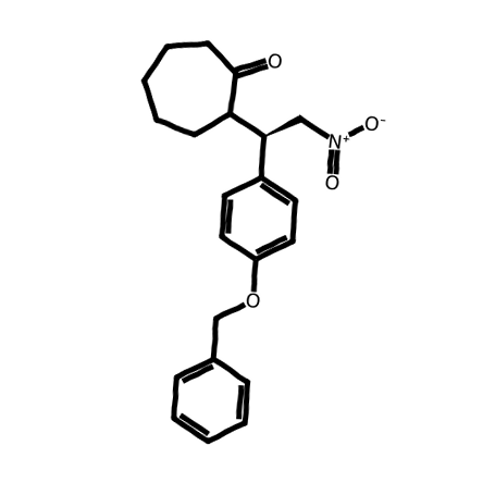 O=C1CCCCCC1[C@@H](C[N+](=O)[O-])c1ccc(OCc2ccccc2)cc1